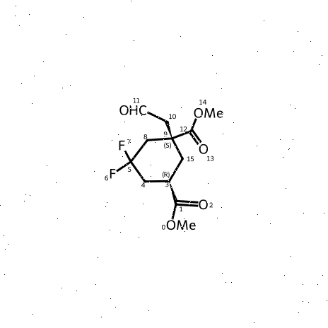 COC(=O)[C@H]1CC(F)(F)C[C@](CC=O)(C(=O)OC)C1